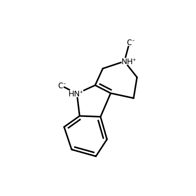 [CH2-][NH+]1CCC2=C(C1)[NH+]([CH2-])c1ccccc12